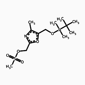 Cc1nc(COS(C)(=O)=O)oc1CO[Si](C)(C)C(C)(C)C